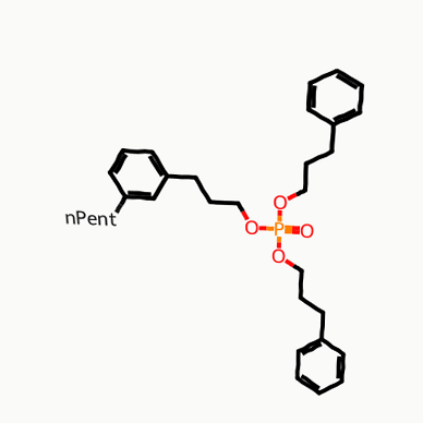 CCCCCc1cccc(CCCOP(=O)(OCCCc2ccccc2)OCCCc2ccccc2)c1